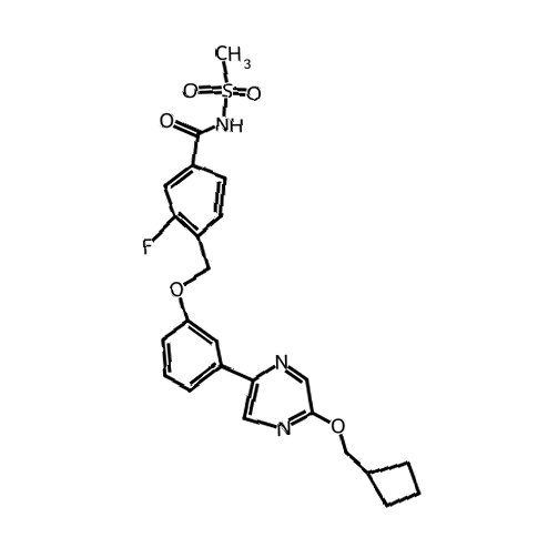 CS(=O)(=O)NC(=O)c1ccc(COc2cccc(-c3cnc(OCC4CCC4)cn3)c2)c(F)c1